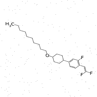 CCCCCCCCCCOC1CCC(c2ccc(C=C(F)F)c(F)c2)CC1